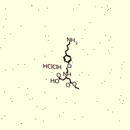 CCOC(=O)CC(CC(=O)O)NCCOc1ccc(CCCCN)cc1.Cl.Cl